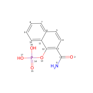 NC(=O)c1ccc2ccccc2c1OP(=O)(O)O